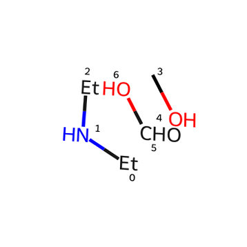 CCNCC.CO.O=CO